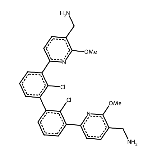 COc1nc(-c2cccc(-c3cccc(-c4ccc(CN)c(OC)n4)c3Cl)c2Cl)ccc1CN